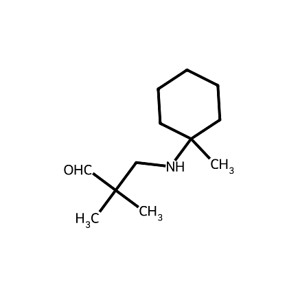 CC(C)(C=O)CNC1(C)CCCCC1